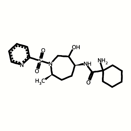 C[C@@H]1CC[C@H](NC(=O)C2(N)CCCCC2)C(O)CN1S(=O)(=O)c1ccccn1